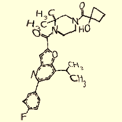 CC(C)c1cc(-c2ccc(F)cc2)nc2cc(C(=O)N3CCN(C(=O)C4(O)CCC4)CC3(C)C)oc12